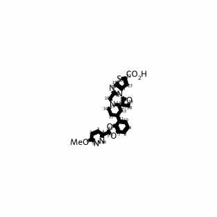 COc1ccc(C2Oc3cccc(C4CCN(Cc5nc6sc(C(=O)O)cc6n5C5CCO5)CC4)c3O2)nn1